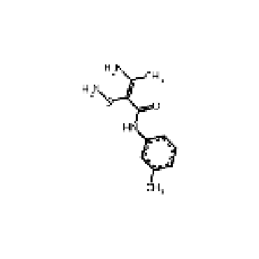 C/C(N)=C(/SN)C(=O)Nc1cccc(C)c1